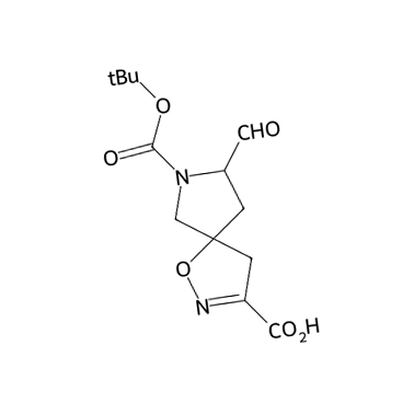 CC(C)(C)OC(=O)N1CC2(CC(C(=O)O)=NO2)CC1C=O